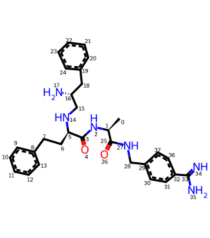 C[C@H](NC(=O)[C@@H](CCc1ccccc1)NC[C@H](N)Cc1ccccc1)C(=O)NCc1ccc(C(=N)N)cc1